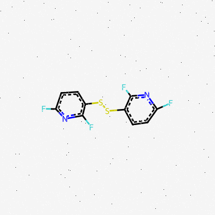 Fc1ccc(SSc2ccc(F)nc2F)c(F)n1